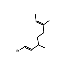 [CH2]CC=CC(C)CCC(C)=CC